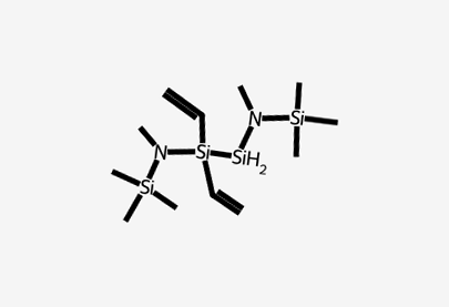 C=C[Si](C=C)([SiH2]N(C)[Si](C)(C)C)N(C)[Si](C)(C)C